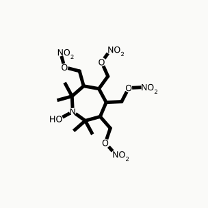 CC1(C)C(CO[N+](=O)[O-])C(CO[N+](=O)[O-])C(CO[N+](=O)[O-])C(CO[N+](=O)[O-])C(C)(C)N1O